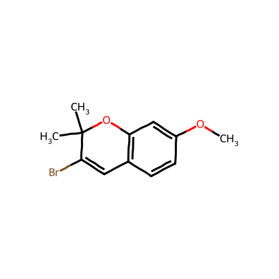 COc1ccc2c(c1)OC(C)(C)C(Br)=C2